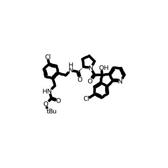 CC(C)(C)OC(=O)NCc1ccc(Cl)cc1CNC(=O)[C@@H]1CCCN1C(=O)C1(O)c2cc(Cl)ccc2-c2ncccc21